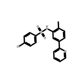 Cc1ccc(-c2ccccn2)cc1NS(=O)(=O)c1ccc(Cl)cc1